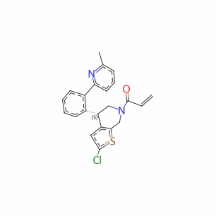 C=CC(=O)N1Cc2sc(Cl)cc2[C@H](c2ccccc2-c2cccc(C)n2)C1